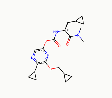 CN(C)C(=O)[C@H](CC1CC1)NC(=O)Oc1cnc(C2CC2)c(OCC2CC2)n1